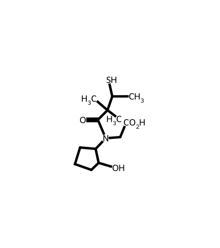 CC(S)C(C)(C)C(=O)N(CC(=O)O)C1CCCC1O